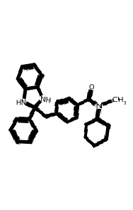 CN(C(=O)c1ccc(CC2(c3ccccc3)Nc3ccccc3N2)cc1)C1CCCCC1